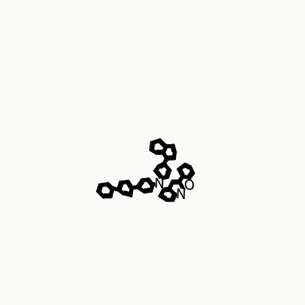 c1ccc(-c2ccc(-c3ccc(N(c4ccc(-c5cccc6ccccc56)cc4)c4cccc5nc6oc7ccccc7c6cc45)cc3)cc2)cc1